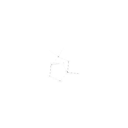 CC12CCC(O1)C(C)(C)C2